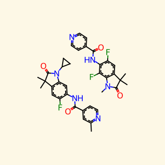 CN1C(=O)C(C)(C)c2cc(F)c(NC(=O)c3ccncc3)c(F)c21.Cc1cc(C(=O)Nc2cc3c(cc2F)C(C)(C)C(=O)N3C2CC2)ccn1